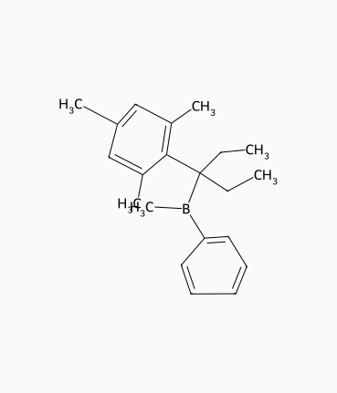 CCC(CC)(B(C)c1ccccc1)c1c(C)cc(C)cc1C